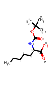 CCCCC[C@@H](NC(=O)OC(C)(C)C)C(=O)O